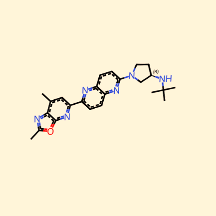 Cc1nc2c(C)cc(-c3ccc4nc(N5CC[C@@H](NC(C)(C)C)C5)ccc4n3)nc2o1